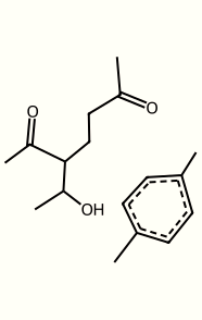 CC(=O)CCC(C(C)=O)C(C)O.Cc1ccc(C)cc1